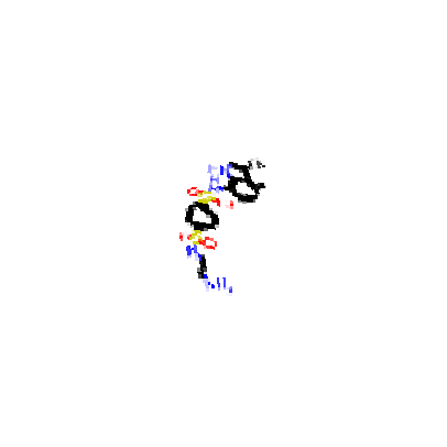 Cc1ccc(NS(=O)(=O)c2ccc(S(=O)(=O)NCCN)cc2)c2[nH]cc(C#N)c12